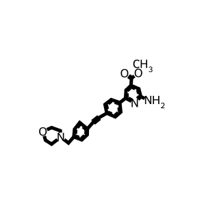 COC(=O)c1cc(N)nc(-c2ccc(C#Cc3ccc(CN4CCOCC4)cc3)cc2)c1